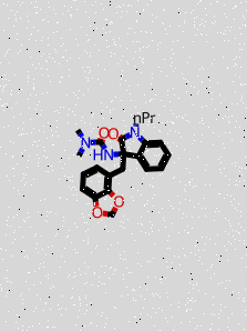 CCCN1C(=O)C(Cc2cccc3c2OCO3)(NC(=O)N(C)C)c2ccccc21